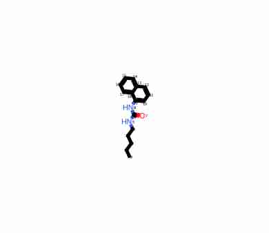 CCCCCNC(=O)Nc1cccc2ccccc12